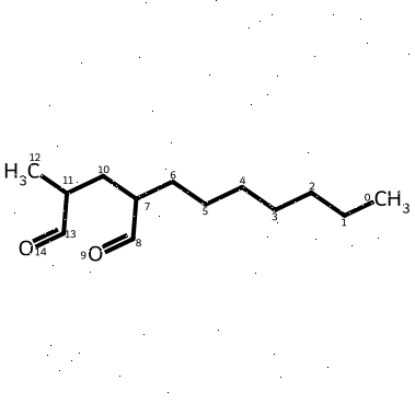 CCCCCCCC(C=O)CC(C)C=O